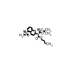 CCCCOC(=O)N(C(=O)OC(C)(C)C)c1ccc2c(S(N)(=O)=O)cccc2n1